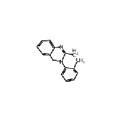 CC1=Nc2ccccc2CN1c1ccccc1C